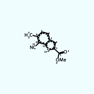 COC(=O)c1cc2ccc(C)c(C#N)c2s1